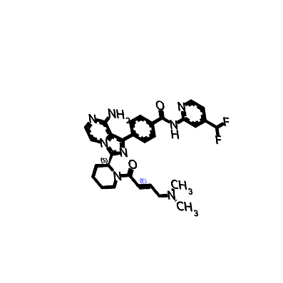 CN(C)C/C=C/C(=O)N1CCCC[C@H]1c1nc(-c2ccc(C(=O)Nc3cc(C(F)F)ccn3)cc2)c2c(N)nccn12